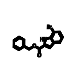 O=C(OCc1ccccc1)c1cc2cccc(Br)c2[nH]1